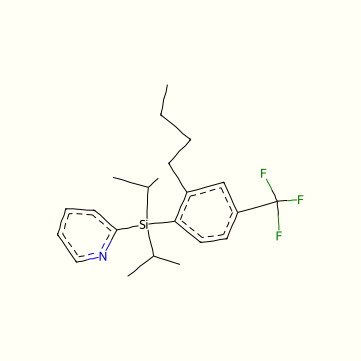 CCCCc1cc(C(F)(F)F)ccc1[Si](c1ccccn1)(C(C)C)C(C)C